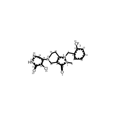 Cn1c(=O)c2c(n1Cc1ccccc1C(F)(F)F)CCN(c1cn[nH]c(=O)c1Cl)C2